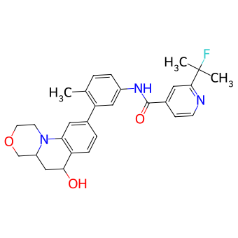 Cc1ccc(NC(=O)c2ccnc(C(C)(C)F)c2)cc1-c1ccc2c(c1)N1CCOCC1CC2O